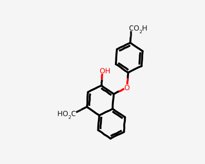 O=C(O)c1ccc(Oc2c(O)cc(C(=O)O)c3ccccc23)cc1